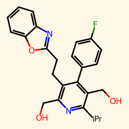 CC(C)c1nc(CO)c(CCc2nc3ccccc3o2)c(-c2ccc(F)cc2)c1CO